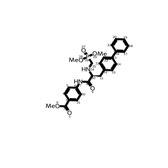 COC(=O)c1ccc(NC(=O)[C@H](Cc2ccc(-c3ccccc3)cc2)NCP(=O)(OC)OC)cc1